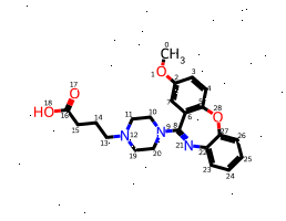 COc1ccc2c(c1)C(N1CCN(CCCC(=O)O)CC1)=Nc1ccccc1O2